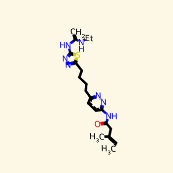 C=C(NCC)Nc1nnc(CCCCc2ccc(NC(=O)C/C(C)=C/C)nn2)s1